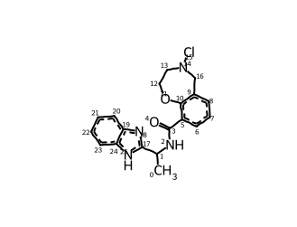 CC(NC(=O)c1cccc2c1OCCN(Cl)C2)c1nc2ccccc2[nH]1